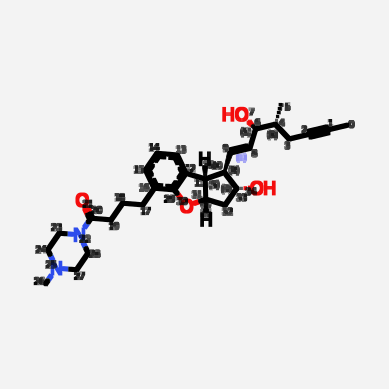 CC#CC[C@@H](C)[C@H](O)/C=C/[C@@H]1[C@H]2c3cccc(CCCC(=O)N4CCN(C)CC4)c3O[C@H]2C[C@H]1O